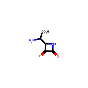 NC(C(=O)O)C1NC(=O)C1=O